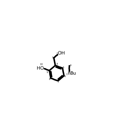 CCCCC.OCc1ccccc1O